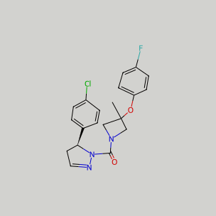 CC1(Oc2ccc(F)cc2)CN(C(=O)N2N=CC[C@H]2c2ccc(Cl)cc2)C1